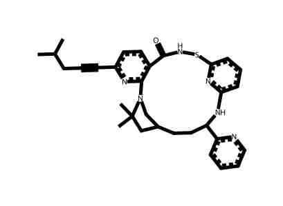 CC(C)CC#Cc1ccc2c(n1)N1CC(CCC(c3ccccn3)Nc3cccc(n3)SNC2=O)CC1(C)C